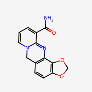 NC(=O)C1=CC=CN2Cc3ccc4c(c3N=C12)OCO4